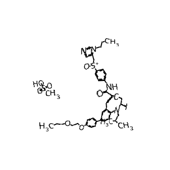 CCCOCCOc1ccc(-c2ccc3c(c2)C=C(C(=O)Nc2ccc([S+]([O-])Cc4cncn4CCC)cc2)CCC(I)N3CC(C)C)cc1.CS(=O)(=O)O